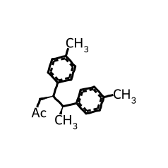 CC(=O)C[C@@H](c1ccc(C)cc1)[C@H](C)c1ccc(C)cc1